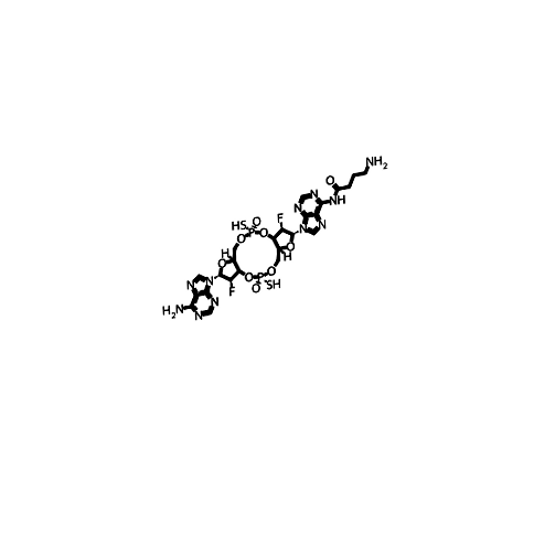 NCCCC(=O)Nc1ncnc2c1ncn2[C@@H]1O[C@@H]2CO[P@](=O)(S)OC3[C@@H](F)[C@H](n4cnc5c(N)ncnc54)O[C@@H]3CO[P@@](=O)(S)OC2[C@H]1F